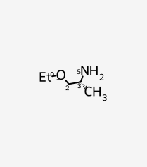 CCOC[C@@H](C)N